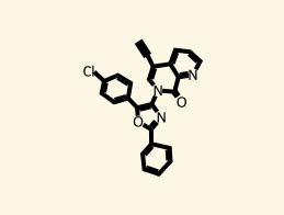 C#Cc1cn(-c2nc(-c3ccccc3)oc2-c2ccc(Cl)cc2)c(=O)c2ncccc12